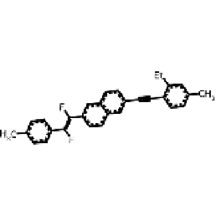 CCc1cc(C)ccc1C#Cc1ccc2cc(/C(F)=C(\F)c3ccc(C)cc3)ccc2c1